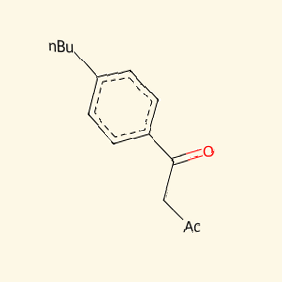 CCCCc1ccc(C(=O)CC(C)=O)cc1